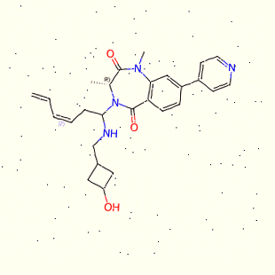 C=C/C=C\CC(NCC1CC(O)C1)N1C(=O)c2ccc(-c3ccncc3)cc2N(C)C(=O)[C@H]1C